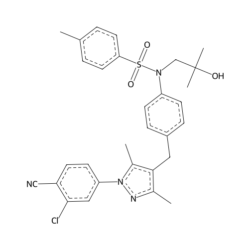 Cc1ccc(S(=O)(=O)N(CC(C)(C)O)c2ccc(Cc3c(C)nn(-c4ccc(C#N)c(Cl)c4)c3C)cc2)cc1